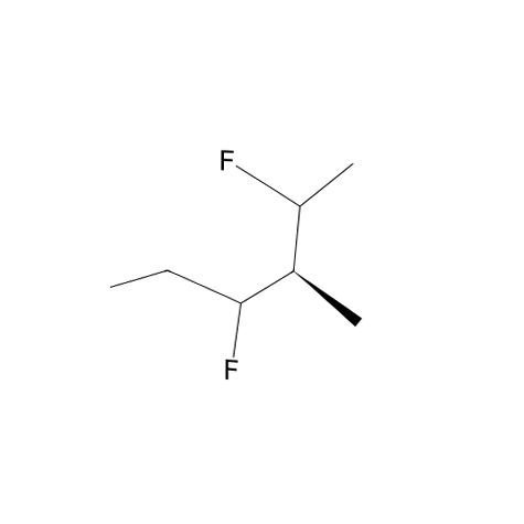 CCC(F)[C@H](C)C(C)F